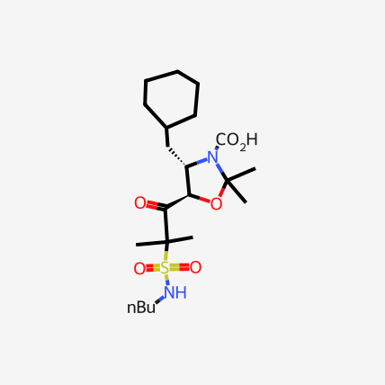 CCCCNS(=O)(=O)C(C)(C)C(=O)[C@@H]1OC(C)(C)N(C(=O)O)[C@H]1CC1CCCCC1